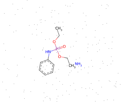 CCOP(=O)(Nc1ccccc1)OCC.N